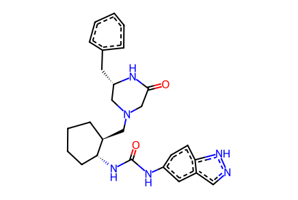 O=C1CN(C[C@@H]2CCCC[C@H]2NC(=O)Nc2ccc3[nH]ncc3c2)C[C@H](Cc2ccccc2)N1